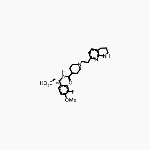 COc1ccc([C@H](CC(=O)O)NC(=O)C2CCN(CCc3ccc4c(n3)NCCC4)CC2)cc1F